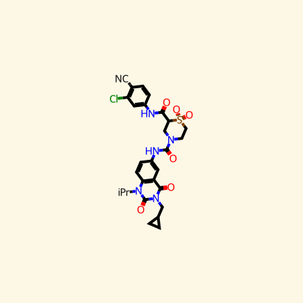 CC(C)n1c(=O)n(CC2CC2)c(=O)c2cc(NC(=O)N3CCS(=O)(=O)C(C(=O)Nc4ccc(C#N)c(Cl)c4)C3)ccc21